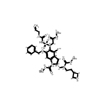 C=CCOC(=O)NS(=O)(=O)N(CC(=O)OC(C)(C)C)c1c(OCc2ccccc2)cc2c(c1F)C[C@H](CN(CCC1COC1)C(=O)OC(C)(C)C)N2C(=O)OC(C)(C)C